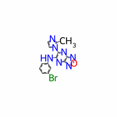 Cc1nccn1-c1nc2nonc2nc1Nc1cccc(Br)c1